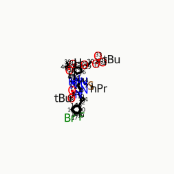 CCCSc1nc(N(C(=O)OC(C)(C)C)C2CC2c2ccc(Br)c(F)c2)c2nnn([C@@H]3C[C@H](OCCOC(=O)OC(C)(C)C)[C@H]4OC(C)(C)O[C@H]43)c2n1